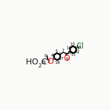 C[C@H](Oc1ccc(CC(=O)c2ccc(Cl)cc2)cc1)C(=O)O